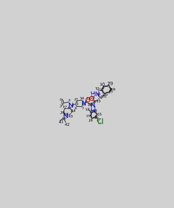 CC(C)CN(C1CCN(C(=O)[C@@H](Cc2ccc(Cl)cc2)NC(=O)C[C@H]2Cc3ccccc3CN2)CC1)C1CCN(C(C)C)CC1